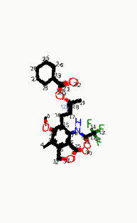 COc1c(C)c2c(c(NC(=O)C(F)(F)F)c1C/C=C(/C)OC(=O)C1CCCCC1)C(=O)OC2